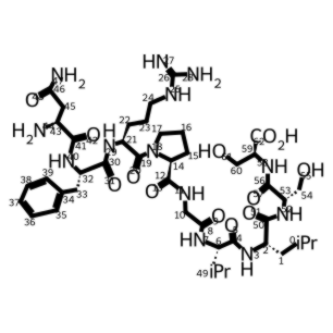 CC(C)C[C@H](NC(=O)[C@@H](NC(=O)CNC(=O)[C@@H]1CCCN1C(=O)[C@H](CCCNC(=N)N)NC(=O)[C@H](Cc1ccccc1)NC(=O)[C@@H](N)CC(N)=O)C(C)C)C(=O)N[C@@H](CO)C(=O)N[C@@H](CO)C(=O)O